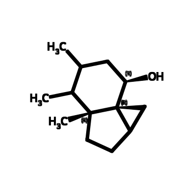 CC1C[C@@H](O)[C@]23CC2CC[C@]3(C)C1C